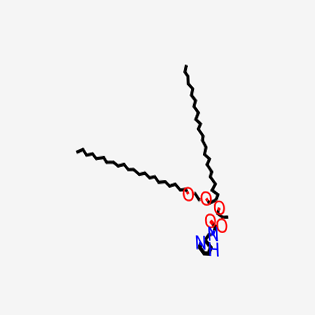 CCCCCCCCCCCCCCCCCCCCCCCC(COCCOCCCCCCCCCCCCCCCCCCCCCC)OCC(C)OC(=O)NCc1ccccn1